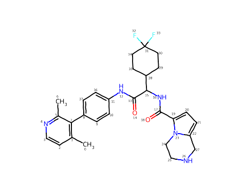 Cc1ccnc(C)c1-c1ccc(NC(=O)C(NC(=O)c2ccc3n2CCNC3)C2CCC(F)(F)CC2)cc1